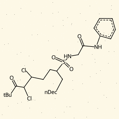 CCCCCCCCCCCC(CCC(Cl)C(Cl)C(=O)C(C)(C)C)S(=O)(=O)NCC(=O)Nc1ccccc1